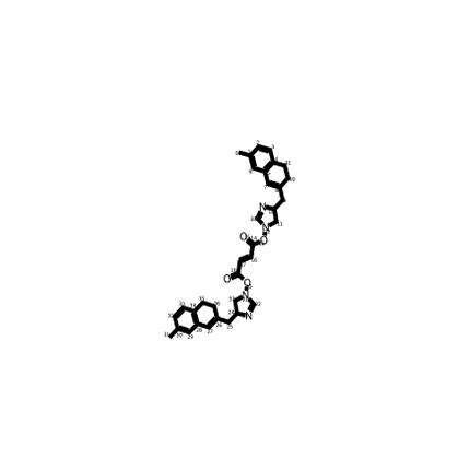 Cc1ccc2c(c1)C=C(CC1CN(OC(=O)/C=C/C(=O)ON3C=NC(CC4=Cc5cc(C)ccc5CC4)C3)C=N1)CC2